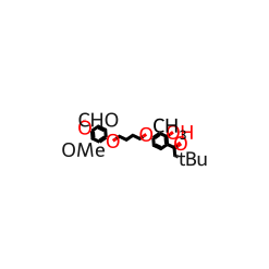 COc1cc(OC=O)ccc1OCCCCOc1ccc(C(=O)CC(C)(C)C)c(O)c1C